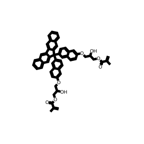 C=C(C)C(=O)OCC(O)COc1ccc2cc(C3(c4ccc5cc(OCC(O)COC(=O)C(=C)C)ccc5c4)c4cc5ccccc5cc4-c4cc5ccccc5cc43)ccc2c1